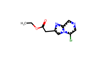 CCOC(=O)Cc1cn2c(Br)cncc2n1